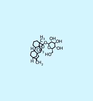 C=C1C[C@]23CC[C@H]4C(C)(C(=O)O[C@@H]5O[C@H](CO)[C@@H](O)[C@H](O)[C@H]5O)CCC[C@]4(C)[C@H]2CC[C@@H]1C3